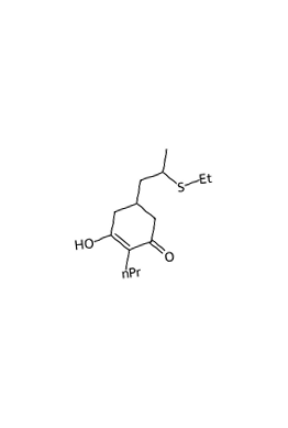 CCCC1=C(O)CC(CC(C)SCC)CC1=O